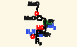 COCCCOc1cc(C[C@@H](C[C@H](N)[C@@H](O)C[C@H](C(=O)NC(C)(C)C(N)=O)C(C)C)C(C)C)ccc1OC.Cl